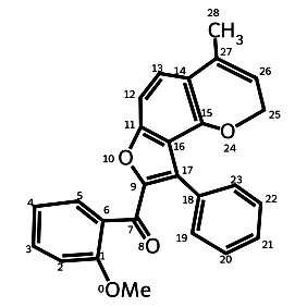 COc1ccccc1C(=O)c1oc2ccc3c(c2c1-c1ccccc1)OCC=C3C